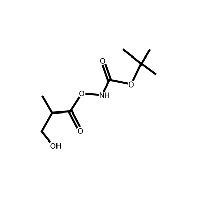 CC(CO)C(=O)ONC(=O)OC(C)(C)C